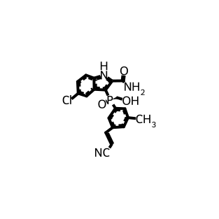 Cc1cc(/C=C/C#N)cc([P@@](=O)(CO)c2c(C(N)=O)[nH]c3ccc(Cl)cc23)c1